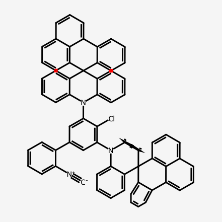 [C-]#[N+]c1ccccc1-c1cc(N2c3ccccc3C3(c4ccccc4-c4cccc5cccc3c45)c3ccccc32)c(Cl)c(N2c3ccccc3C3(c4ccccc4-c4cccc5cccc3c45)c3ccccc32)c1